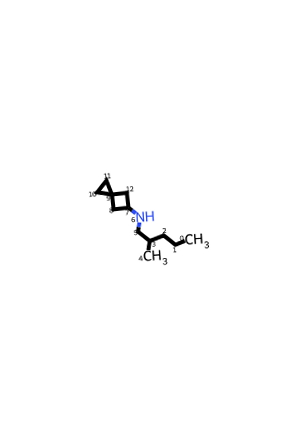 CCCC(C)CNC1CC2(CC2)C1